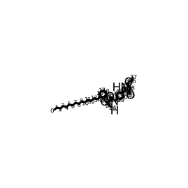 CCCCCCCCCCCC=CCCc1ccccc1OC(CC)C(=O)Nc1ccc(-n2[nH]c(OCC)cc2=O)cc1